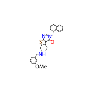 COc1cccc(CNC2CCc3c(sc4ncn(Cc5cccc6ccccc56)c(=O)c34)C2)c1